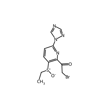 CC[S+]([O-])c1ccc(-n2cncn2)nc1C(=O)CBr